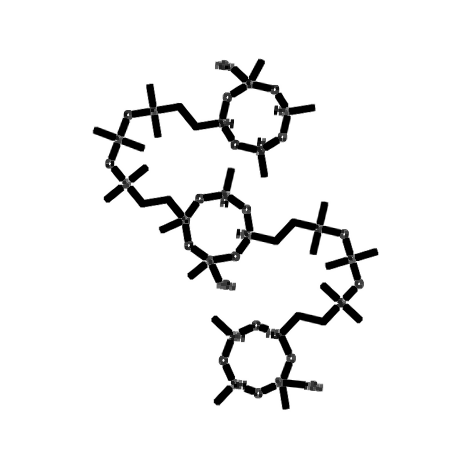 CCCC[Si]1(C)O[SiH](C)O[SiH](C)O[SiH](CC[Si](C)(C)O[Si](C)(C)O[Si](C)(C)CC[SiH]2O[SiH](C)O[Si](C)(CC[Si](C)(C)O[Si](C)(C)O[Si](C)(C)CC[SiH]3O[SiH](C)O[SiH](C)O[Si](C)(CCCC)O3)O[Si](C)(CCCC)O2)O1